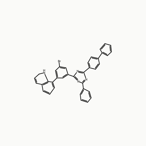 Brc1cc(-c2nc(-c3ccccc3)nc(-c3ccc(-c4ccccc4)cc3)n2)cc(-c2cccc3c2NCC=C3)c1